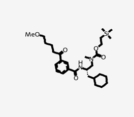 COCCCCC(=O)c1cccc(C(=O)N[C@@H](CC2CCCCC2)CN(C)C(=O)OCC[Si](C)(C)C)c1